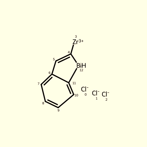 [Cl-].[Cl-].[Cl-].[Zr+3][C]1=Cc2cccc[c]2[BiH]1